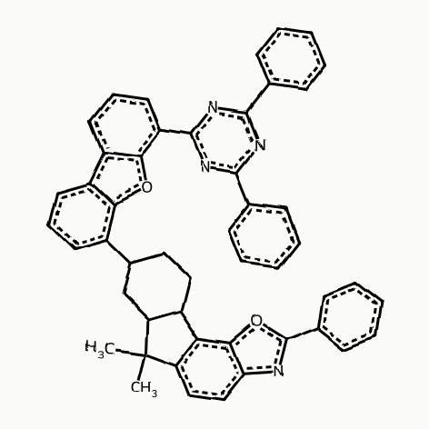 CC1(C)c2ccc3nc(-c4ccccc4)oc3c2C2CCC(c3cccc4c3oc3c(-c5nc(-c6ccccc6)nc(-c6ccccc6)n5)cccc34)CC21